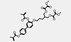 C=C(C)C(=O)Oc1ccc(-c2ccc(OCCCC(COC(=O)C(=O)OC)COC(=O)C(=O)OC)c(OC(=O)C(=C)C)c2)cc1